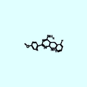 COc1ccc(C2=NC(N)C(Cc3ccccc3F)C(N)=N2)nc1